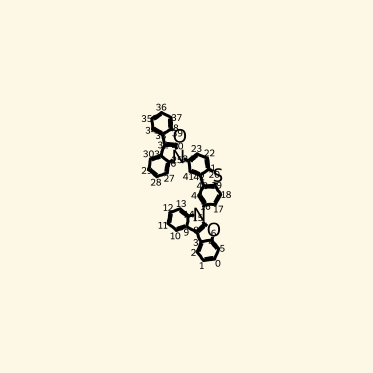 c1ccc2c(c1)oc1c2c2ccccc2n1-c1ccc2sc3ccc(-n4c5ccccc5c5c6ccccc6oc54)cc3c2c1